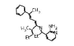 CC/C=C(C)/C(=C\C=C(/C)c1ccccc1)/N=C(\CC)c1cccnc1N